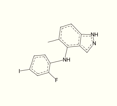 Cc1ccc2[nH]ncc2c1Nc1ccc(I)cc1F